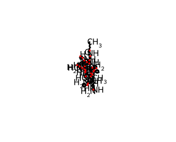 CCCCCCCC(=O)NCCCC[C@H](NC(=O)[C@@H](N)Cc1cn(C(c2ccccc2)(c2ccccc2)c2ccccc2)cn1)C(=O)N[C@@H](Cc1ccccc1)C(=O)N[C@@H](Cc1ccc(O)cc1)C(=O)N[C@@H](CO)C(=O)N[C@@H](CCC(N)=O)C(=O)N[C@@H](CC(=O)O)C(=O)NCC(=O)N[C@@H](C)C(=O)N[C@@H](CCCNC(=N)N)C(=O)N[C@@H](Cc1ccccc1)C(N)=O